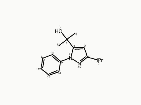 CC(C)c1cc(C(C)(C)O)n(-c2ccccc2)n1